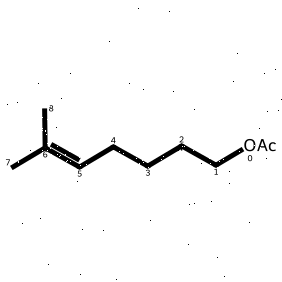 CC(=O)OC[CH]CCC=C(C)C